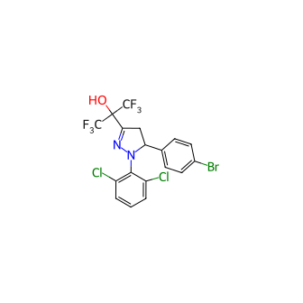 OC(C1=NN(c2c(Cl)cccc2Cl)C(c2ccc(Br)cc2)C1)(C(F)(F)F)C(F)(F)F